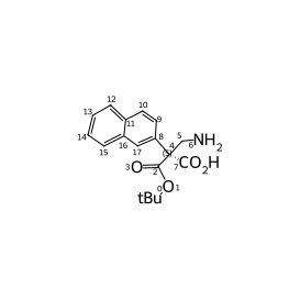 CC(C)(C)OC(=O)[C@@](CN)(C(=O)O)c1ccc2ccccc2c1